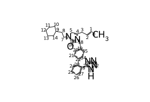 CC=CCc1cn(CCC2CCCCC2)c(=O)n1Cc1ccc(-c2ccccc2-c2nnn[nH]2)cc1